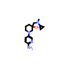 CN(CC1(O)CCCN(c2ccc(N)nc2)C1)C1CC1